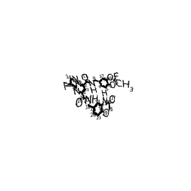 CC1(F)Oc2ccc(CNC(=O)c3cc(C(=O)NCc4ccc5c(c4)NC(=O)CO5)nc4c(F)cnn34)cc2O1